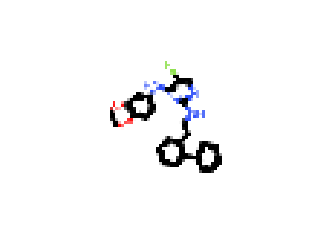 Fc1cnc(NCCc2ccccc2-c2ccccc2)nc1Nc1ccc2c(c1)OCCO2